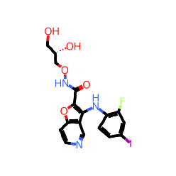 O=C(NOC[C@@H](O)CO)c1oc2ccncc2c1Nc1ccc(I)cc1F